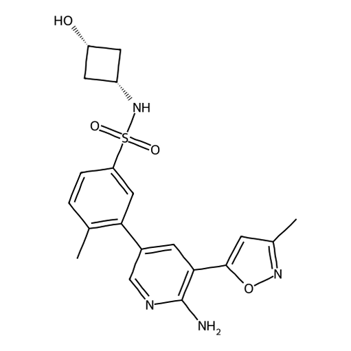 Cc1cc(-c2cc(-c3cc(S(=O)(=O)N[C@H]4C[C@@H](O)C4)ccc3C)cnc2N)on1